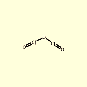 [O]=[Cf][O][Cf]=[O]